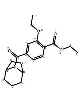 CCOC(=O)c1ccc(C(=O)N2C3CCCC2OC3)cc1OCC